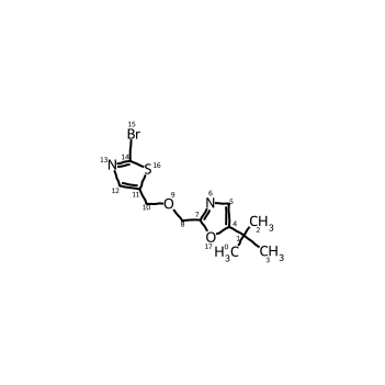 CC(C)(C)c1cnc(COCc2cnc(Br)s2)o1